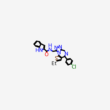 CCc1cc2c(s1)-n1c(nnc1CNC(=O)c1cc3ccccc3[nH]1)CN=C2c1ccc(Cl)cc1